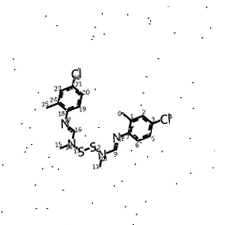 Cc1cc(Cl)ccc1N=CN(C)SSN(C)C=Nc1ccc(Cl)cc1C